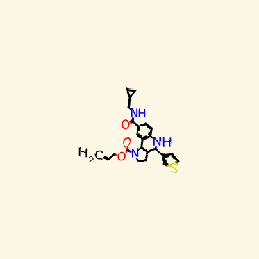 C=CCOC(=O)N1CCC2C(c3ccsc3)Nc3ccc(C(=O)NCC4CC4)cc3C21